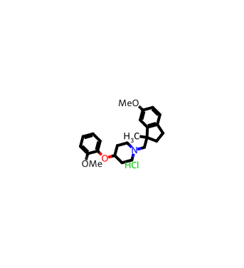 COc1ccc2c(c1)C(C)(CN1CCC(Oc3ccccc3OC)CC1)CC2.Cl